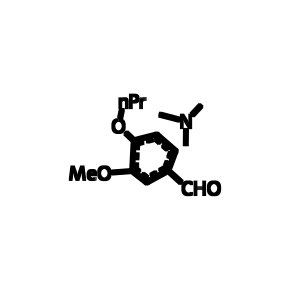 CCCOc1ccc(C=O)cc1OC.CN(C)C